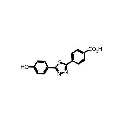 O=C(O)c1ccc(-c2nnc(-c3ccc(O)cc3)s2)cc1